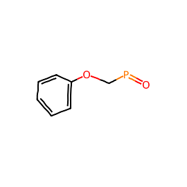 O=PCOc1ccccc1